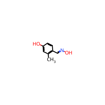 Cc1cc(O)ccc1C=NO